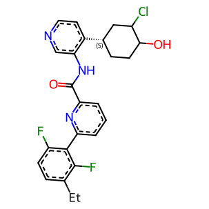 CCc1ccc(F)c(-c2cccc(C(=O)Nc3cnccc3[C@H]3CCC(O)C(Cl)C3)n2)c1F